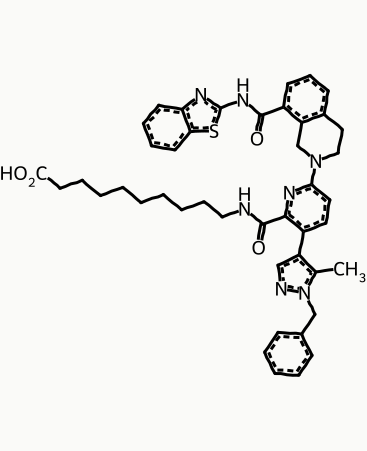 Cc1c(-c2ccc(N3CCc4cccc(C(=O)Nc5nc6ccccc6s5)c4C3)nc2C(=O)NCCCCCCCCCC(=O)O)cnn1Cc1ccccc1